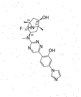 CN(c1ncc(-c2ccc(-n3ccnc3)cc2O)nn1)[C@@H]1C[C@]2(C)N[C@@](C)(C[C@H]2O)[C@H]1F